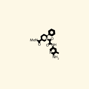 CNC(=O)C1CC[C@@H](c2ccccc2)N(C(=O)C(=O)Nc2cnc(N)c(C)c2)C1